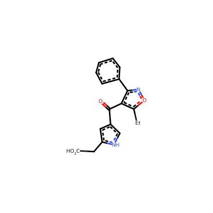 CCc1onc(-c2ccccc2)c1C(=O)c1c[nH]c(CC(=O)O)c1